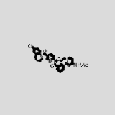 CC(=O)NC1CCN(CCON(C(=O)c2ccccc2)c2ccc(C(=O)N3CCCCc4cc(Cl)ccc43)cn2)CC1